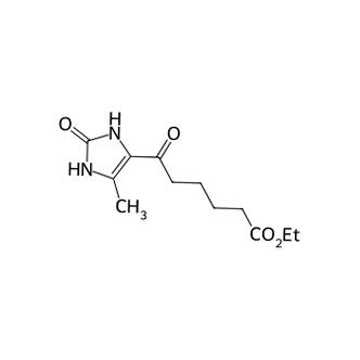 CCOC(=O)CCCCC(=O)c1[nH]c(=O)[nH]c1C